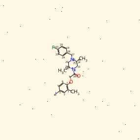 Cc1cc(I)ccc1OCC(=O)N1C[C@H](C)N(Cc2ccc(F)cc2)C[C@H]1C